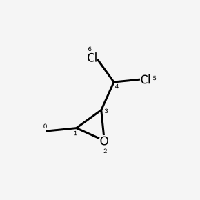 CC1OC1C(Cl)Cl